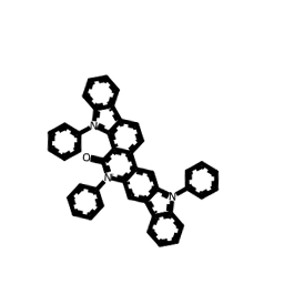 O=c1c2c(ccc3c4ccccc4n(-c4ccccc4)c32)c2cc3c(cc2n1-c1ccccc1)c1ccccc1n3-c1ccccc1